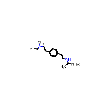 CCCCCCC(C)NCCc1ccc(CCN(C)CC(C)C)cc1